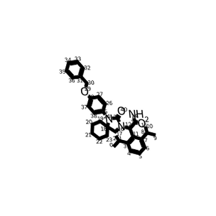 CC(C)c1cccc(C(C)C)c1C(C(N)=O)N1CC2(CCCCC2)N(c2ccc(OCc3ccccc3)cc2)C1=O